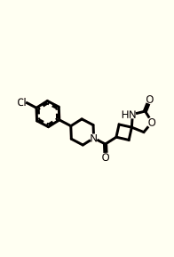 O=C1NC2(CO1)CC(C(=O)N1CCC(c3ccc(Cl)cc3)CC1)C2